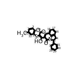 Cc1cccc(Sc2c(O)c3c(=O)n4c5c(cccc5c3oc2=O)CC4c2ccccc2)c1